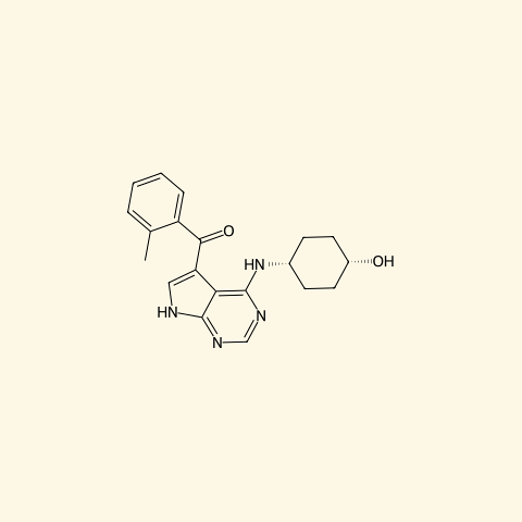 Cc1ccccc1C(=O)c1c[nH]c2ncnc(N[C@H]3CC[C@@H](O)CC3)c12